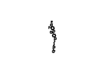 O=C(Oc1ccc(OCF)c(F)c1)c1ccc(OCCCCCOCC2CO2)cc1